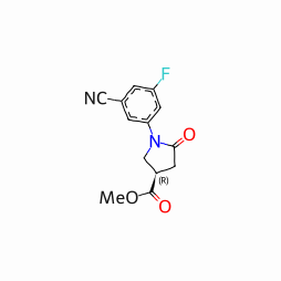 COC(=O)[C@@H]1CC(=O)N(c2cc(F)cc(C#N)c2)C1